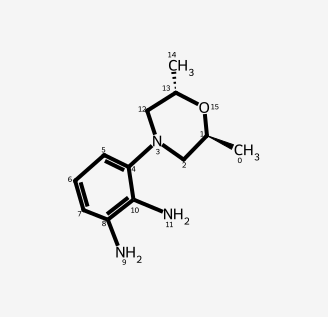 C[C@H]1CN(c2cccc(N)c2N)C[C@H](C)O1